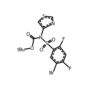 CC(C)(C)OC(=O)N(c1cscn1)S(=O)(=O)c1cc(Br)c(F)cc1F